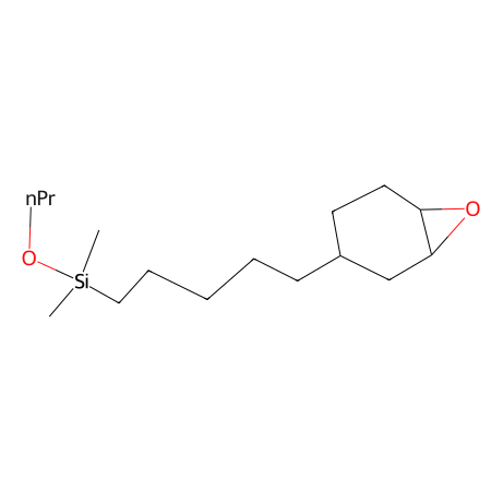 CCCO[Si](C)(C)CCCCCC1CCC2OC2C1